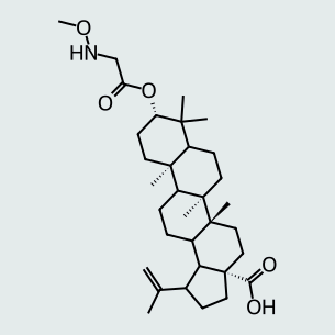 C=C(C)C1CC[C@]2(C(=O)O)CC[C@]3(C)C(CCC4[C@@]5(C)CC[C@H](OC(=O)CNOC)C(C)(C)C5CC[C@]43C)C12